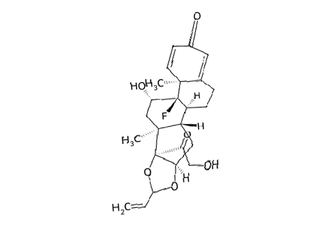 C=CC1O[C@@H]2C[C@H]3[C@@H]4CCC5=CC(=O)C=C[C@]5(C)[C@@]4(F)[C@@H](O)C[C@]3(C)[C@]2(C(=O)CO)O1